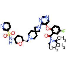 CCN(C(=O)c1cc(F)ccc1Oc1cncnc1N1CC2(CCN(C[C@@H]3CC[C@@H](NS(=O)(=O)c4cccnc4)CO3)CC2)C1)C(C)C